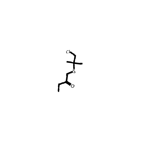 CCC(=O)CSC(C)(C)CCl